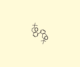 CC(C)(C)C1Cc2c(cccc2-c2cccc3c2OC(C(C)(C)C)CC3)CO1